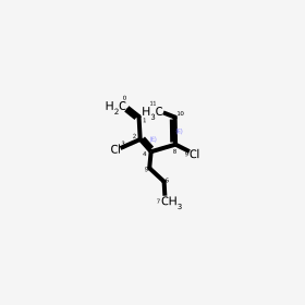 C=C/C(Cl)=C(CCC)\C(Cl)=C/C